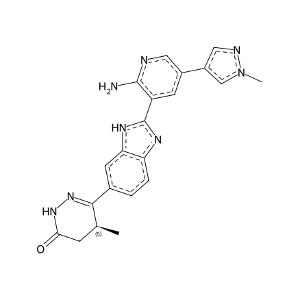 C[C@H]1CC(=O)NN=C1c1ccc2nc(-c3cc(-c4cnn(C)c4)cnc3N)[nH]c2c1